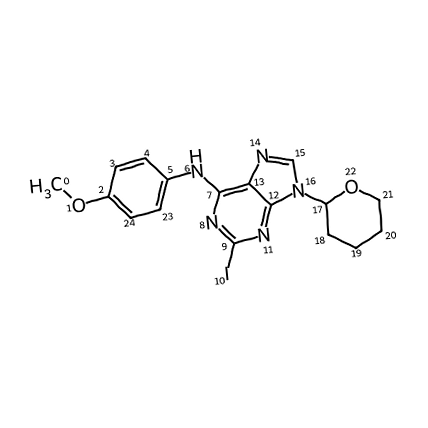 COc1ccc(Nc2nc(I)nc3c2ncn3C2CCCCO2)cc1